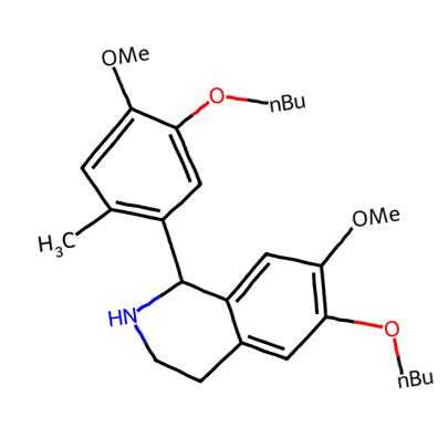 CCCCOc1cc2c(cc1OC)C(c1cc(OCCCC)c(OC)cc1C)NCC2